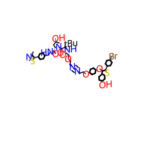 Cc1ncsc1-c1ccc(CNC(=O)[C@@H]2C[C@@H](O)CN2C(=O)C(NC(=O)COCCN2CCN(CCOc3ccc(Oc4c(-c5ccc(Br)cc5)sc5cc(O)ccc45)cc3)CC2)C(C)(C)C)cc1